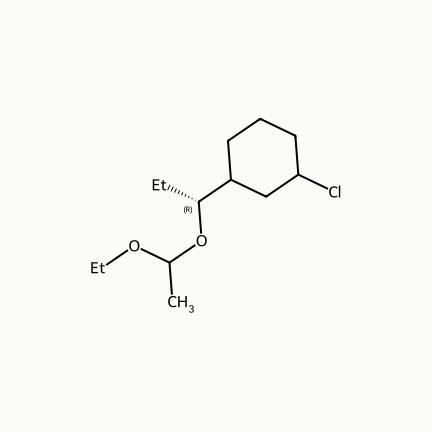 CCOC(C)O[C@H](CC)C1CCCC(Cl)C1